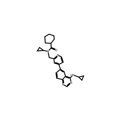 O=C(C1CCCCC1)N(Cc1cc(-c2ccc3ncnc(NC4CC4)c3c2)ccn1)C1CC1